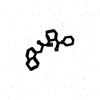 O=C(Cc1cccc2ccccc12)Nc1ccccc1C(=O)N1CCCCC1